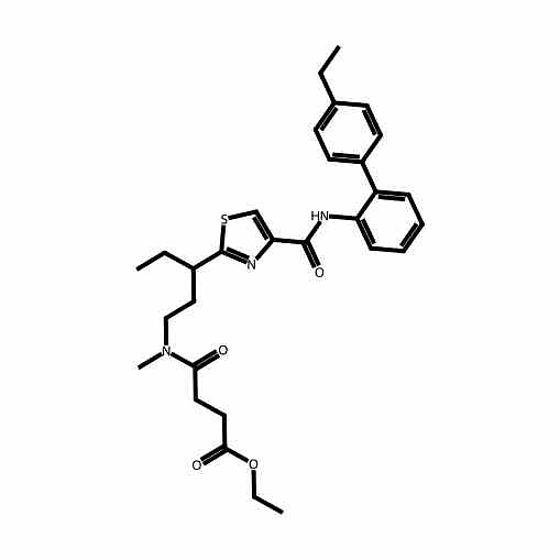 CCOC(=O)CCC(=O)N(C)CCC(CC)c1nc(C(=O)Nc2ccccc2-c2ccc(CC)cc2)cs1